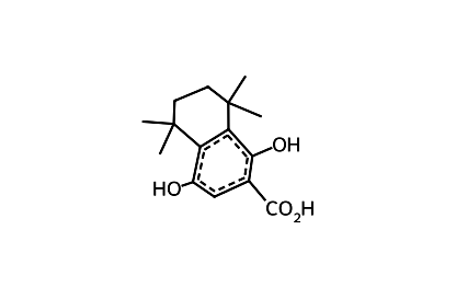 CC1(C)CCC(C)(C)c2c(O)c(C(=O)O)cc(O)c21